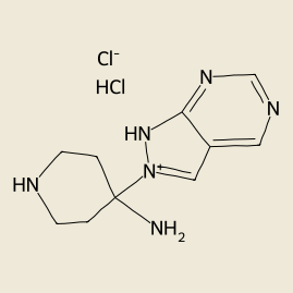 Cl.NC1([n+]2cc3cncnc3[nH]2)CCNCC1.[Cl-]